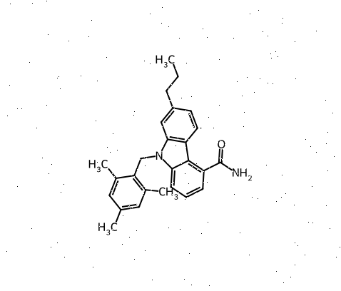 CCCc1c[c]c2c3c(C(N)=O)cccc3n(Cc3c(C)cc(C)cc3C)c2c1